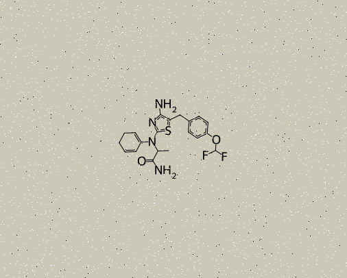 CC(C(N)=O)N(C1=CCCC=C1)c1nc(N)c(Cc2ccc(OC(F)F)cc2)s1